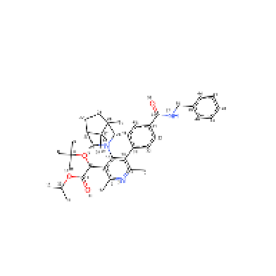 Cc1nc(C)c(C(OC(C)(C)C)C(=O)OC(C)C)c(N2CC3CCC(C)(C2)C3(C)C)c1-c1ccc(C(=O)NCc2ccccc2)cc1